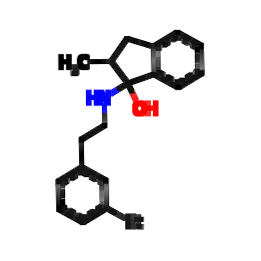 CCc1cccc(CCNC2(O)c3ccccc3CC2C)c1